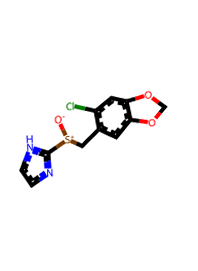 [O-][S+](Cc1cc2c(cc1Cl)OCO2)c1ncc[nH]1